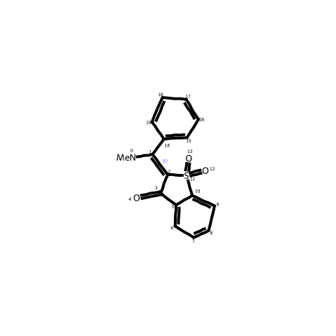 CN/C(=C1\C(=O)c2ccccc2S1(=O)=O)c1ccccc1